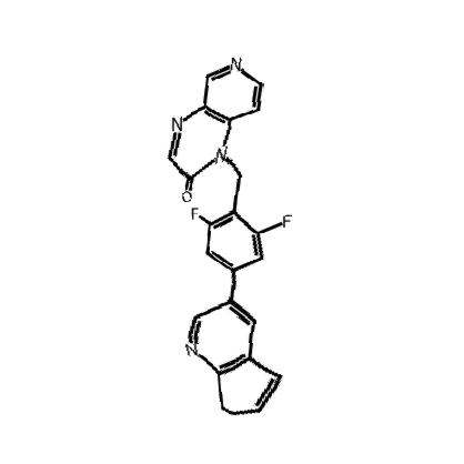 O=c1cnc2cnccc2n1Cc1c(F)cc(-c2cnc3c(c2)C=CC3)cc1F